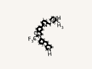 C[C@H]1CN(Cc2cccc(-c3cccc(CN(C(=O)C(F)(F)F)c4cccc(CC5CCNCC5)c4)c3)n2)CCN1